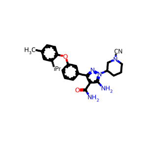 Cc1ccc(Oc2cccc(-c3nn(C4CCCN(C#N)C4)c(N)c3C(N)=O)c2)c(C(C)C)c1